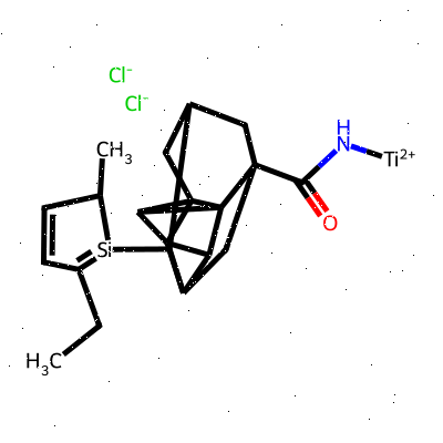 CCC1=[Si](C2C3CC4(C(=O)[NH][Ti+2])CC25C2C46C4C6(C3)C245)C(C)C=C1.[Cl-].[Cl-]